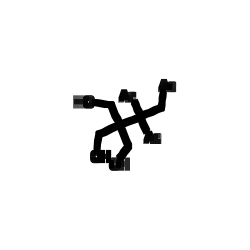 CC(=O)CC(C(C)=O)(C(C)=O)C(CO)(CO)CO